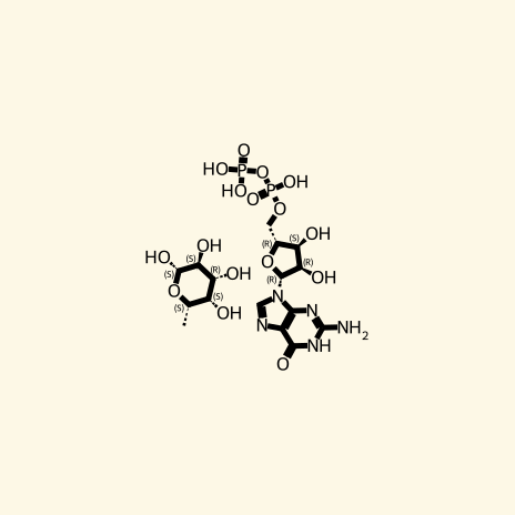 C[C@@H]1O[C@H](O)[C@@H](O)[C@H](O)[C@@H]1O.Nc1nc2c(ncn2[C@@H]2O[C@H](COP(=O)(O)OP(=O)(O)O)[C@@H](O)[C@H]2O)c(=O)[nH]1